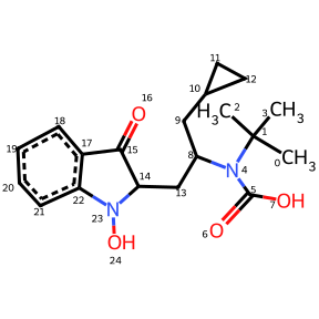 CC(C)(C)N(C(=O)O)C(CC1CC1)CC1C(=O)c2ccccc2N1O